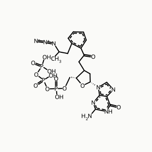 CC(Cc1ccccc1C(=O)CC1C[C@H](n2cnc3c(=O)[nH]c(N)nc32)O[C@@H]1COP(=O)(O)OP(=O)(O)OP(=O)(O)O)N=[N+]=[N-]